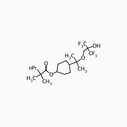 CCCC(C)(C)C(=O)OC1CCC(C(C)(C)OCC(O)(C(F)(F)F)C(F)(F)F)CC1